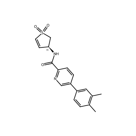 Cc1ccc(-c2ccc(C(=O)N[C@H]3C=CS(=O)(=O)C3)nc2)cc1C